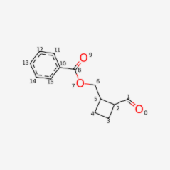 O=CC1CCC1COC(=O)c1ccccc1